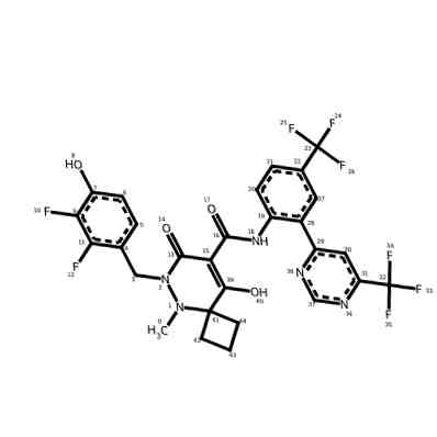 CN1N(Cc2ccc(O)c(F)c2F)C(=O)C(C(=O)Nc2ccc(C(F)(F)F)cc2-c2cc(C(F)(F)F)ncn2)=C(O)C12CCC2